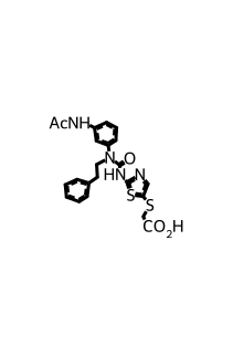 CC(=O)Nc1cccc(N(CCc2ccccc2)C(=O)Nc2ncc(SCC(=O)O)s2)c1